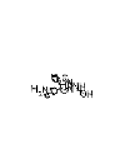 Cc1nc(NCCO)nc2oc(-c3ccc(C4(N)CCC4)cc3)c(-c3ccccc3)c12